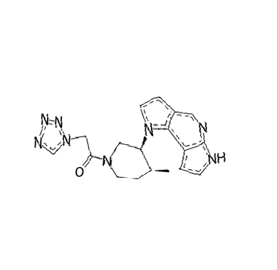 C[C@H]1CCN(C(=O)Cn2cnnn2)C[C@H]1n1ccc2cnc3[nH]ccc3c21